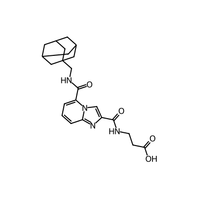 O=C(O)CCNC(=O)c1cn2c(C(=O)NCC34CC5CC(CC(C5)C3)C4)cccc2n1